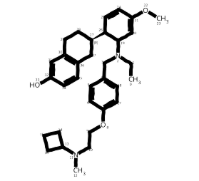 CCN(Cc1ccc(OCCN(C)C2CCC2)cc1)C1C=C(OC)C=CC1[C@@H]1CCc2cc(O)ccc2C1